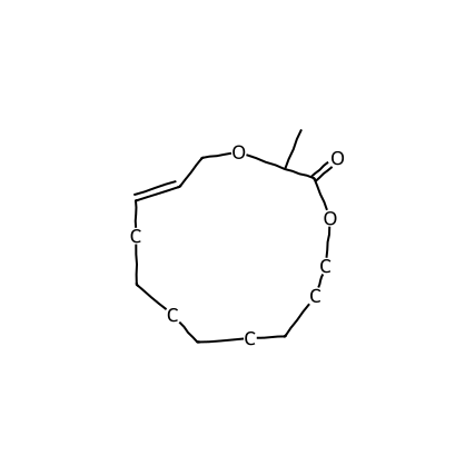 CC1OC/C=C/CCCCCCCCOC1=O